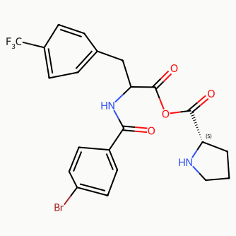 O=C(NC(Cc1ccc(C(F)(F)F)cc1)C(=O)OC(=O)[C@@H]1CCCN1)c1ccc(Br)cc1